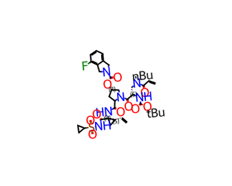 C=CC(=O)N(CCCC)C[C@H](NC(=O)OC(C)(C)C)C(=O)N1C[C@H](OC(=O)N2Cc3cccc(F)c3C2)CC1C(=O)N[C@]1(C(=O)NS(=O)(=O)C2CC2)C[C@H]1C=C